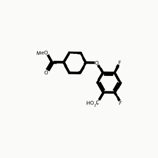 COC(=O)C1CCC(Oc2cc(C(=O)O)c(F)cc2F)CC1